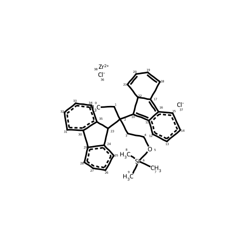 CCC(CCO[Si](C)(C)C)(C1=c2ccccc2=C2C=CC=CC21)C1c2ccccc2-c2ccccc21.[Cl-].[Cl-].[Zr+2]